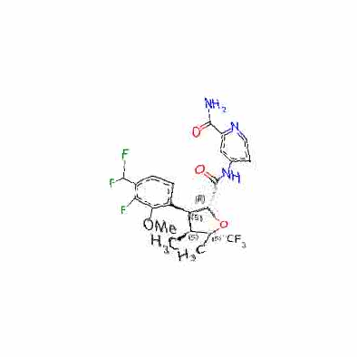 COc1c([C@H]2[C@H](C(=O)Nc3ccnc(C(N)=O)c3)O[C@](C)(C(F)(F)F)[C@H]2C)ccc(C(F)F)c1F